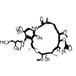 COC1/C=C\C=C(/C)C(=O)Nc2cc(O)c(NCC(O)CO)c(c2O)C[C@@H](C)CC(OC)[C@H](O)[C@@H](C)/C=C(\C)C1OC(N)=O